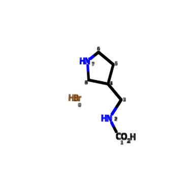 Br.O=C(O)NCC1CCNC1